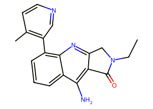 CCN1Cc2nc3c(-c4cnccc4C)cccc3c(N)c2C1=O